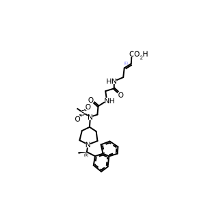 C[C@H](c1cccc2ccccc12)N1CCC(N(CC(=O)NCC(=O)NC/C=C/C(=O)O)S(C)(=O)=O)CC1